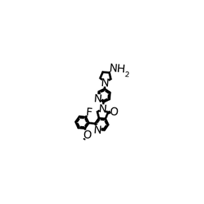 COc1cccc(F)c1-c1nccc2c1CN(c1ccc(N3CC[C@H](N)C3)cn1)C2=O